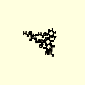 Cc1cccc(F)c1-c1cc(C(=O)NCC2CN(C)C2)c2cc(N)ncc2c1